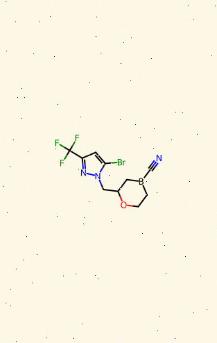 N#CB1CCOC(Cn2nc(C(F)(F)F)cc2Br)C1